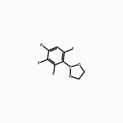 Fc1cc(F)c(P2OCCO2)c(F)c1F